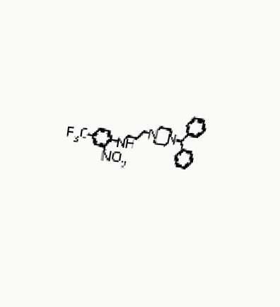 O=[N+]([O-])c1cc(C(F)(F)F)ccc1NCCCN1CCN(C(c2ccccc2)c2ccccc2)CC1